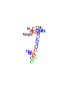 CNCC(=O)OC(C)C(C)NC(=O)N(C=N)c1ccc(N2CCN(c3ccc(OC[C@@H]4COC(Cn5cncn5)(c5ccc(Cl)cc5Cl)O4)cc3)CC2)cc1